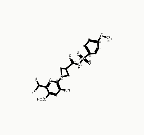 N#Cc1cc(C(=O)O)c(C(F)F)nc1N1CC(C(=O)NS(=O)(=O)c2ccc(OC(F)(F)F)cc2)C1